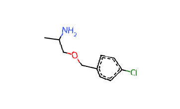 CC(N)COCc1ccc(Cl)cc1